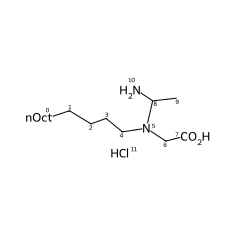 CCCCCCCCCCCCN(CC(=O)O)C(C)N.Cl